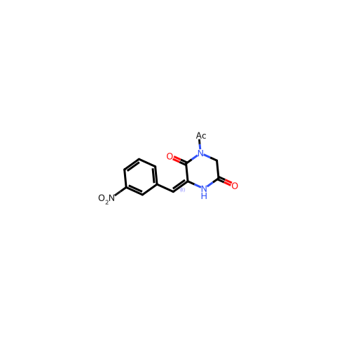 CC(=O)N1CC(=O)N/C(=C/c2cccc([N+](=O)[O-])c2)C1=O